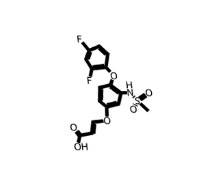 CS(=O)(=O)Nc1cc(O/C=C/C(=O)O)ccc1Oc1ccc(F)cc1F